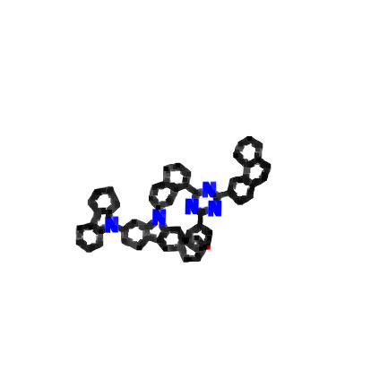 c1ccc(-c2nc(-c3ccc4ccc5ccccc5c4c3)nc(-c3cccc4ccc(-n5c6cc(-n7c8ccccc8c8ccccc87)ccc6c6cc7ccccc7cc65)cc34)n2)cc1